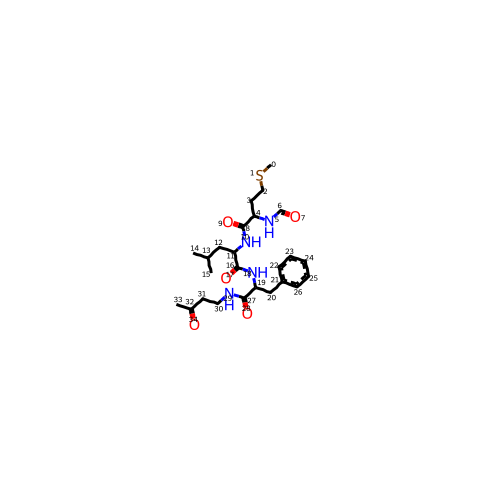 CSCCC(NC=O)C(=O)NC(CC(C)C)C(=O)NC(Cc1ccccc1)C(=O)NCCC(C)=O